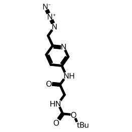 CC(C)(C)OC(=O)NCC(=O)Nc1ccc(CN=[N+]=[N-])nc1